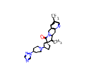 CC1C2Cc3ncc(C(F)(F)F)cc3CN2C(=O)[C@]12CCC(N1CCC(n3cncn3)CC1)C2